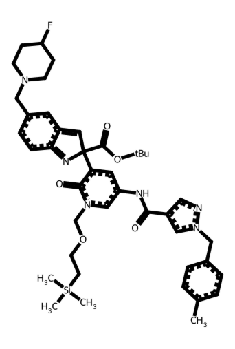 Cc1ccc(Cn2cc(C(=O)Nc3cc(C4(C(=O)OC(C)(C)C)C=c5cc(CN6CCC(F)CC6)ccc5=N4)c(=O)n(COCC[Si](C)(C)C)c3)cn2)cc1